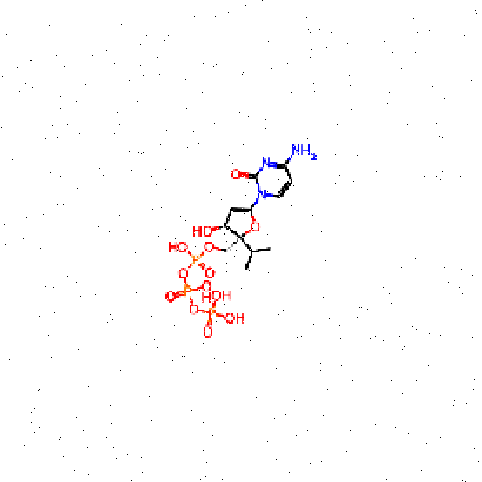 CC(C)[C@]1(COP(=O)(O)OP(=O)(O)OP(=O)(O)O)OC(n2ccc(N)nc2=O)=C[C@@H]1O